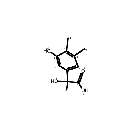 Cc1cc(C(C)(O)C(=O)O)cc(O)c1C